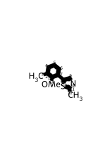 COc1c(C)cccc1-c1cnc(C)s1